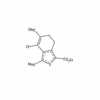 CCOC(=O)c1sc(SC)c2c1CCC(C=O)=C2Cl